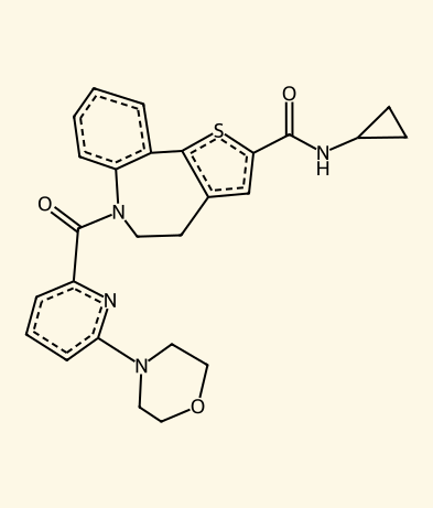 O=C(NC1CC1)c1cc2c(s1)-c1ccccc1N(C(=O)c1cccc(N3CCOCC3)n1)CC2